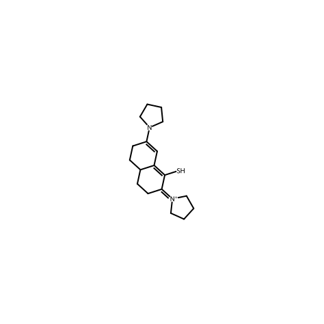 SC1=C2C=C(N3CCCC3)CCC2CCC1=[N+]1CCCC1